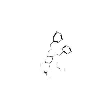 CCO[C@@H]1[C@@H](OC(C)=O)[C@H](S)O[C@H](COCc2ccccc2)[C@H]1OCc1ccccc1